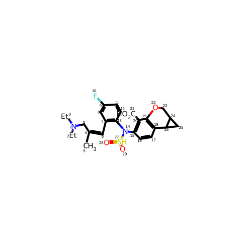 CCN(CC)CC(C)=Cc1cc(F)ccc1N(c1ccc2c(c1C(=O)O)OCC1CC21)[SH](=O)=O